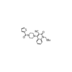 CC(C)(C)Cn1c(=O)c(C#N)c(N2CCN(C(=O)c3cccs3)CC2)c2ccccc21